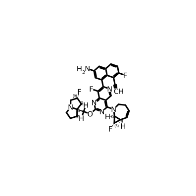 [2H]C([2H])(Oc1nc(N2CCC=C[C@H]3[C@H](F)[C@H]32)c2cnc(-c3cc(N)cc4ccc(F)c(C#C)c34)c(F)c2n1)[C@@]12CCCN1C[C@H](F)C2